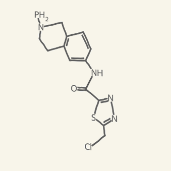 O=C(Nc1ccc2c(c1)CCN(P)C2)c1nnc(CCl)s1